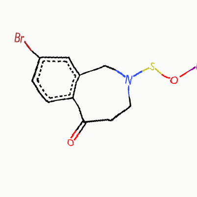 O=C1CCN(SOI)Cc2cc(Br)ccc21